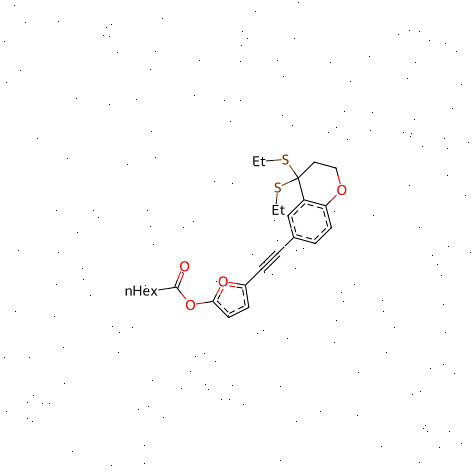 CCCCCCC(=O)Oc1ccc(C#Cc2ccc3c(c2)C(SCC)(SCC)CCO3)o1